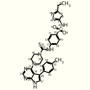 CCc1nnc(NS(=O)(=O)c2ccc(NC(=S)N3CCN(c4ncnc5[nH]cc(-c6ccc(C)cc6)c45)CC3)cc2)s1